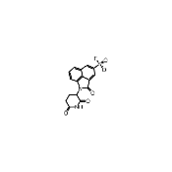 O=C1CCC(N2C(=O)c3cc(S(=O)(=O)F)cc4cccc2c34)C(=O)N1